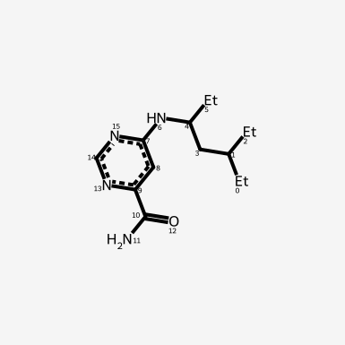 CCC(CC)CC(CC)Nc1cc(C(N)=O)ncn1